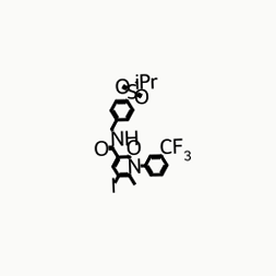 Cc1c(I)cc(C(=O)NCc2ccc(S(=O)(=O)C(C)C)cc2)c(=O)n1-c1cccc(C(F)(F)F)c1